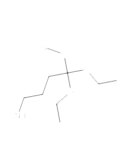 CCOC(CCCN)(O[SiH3])OCC